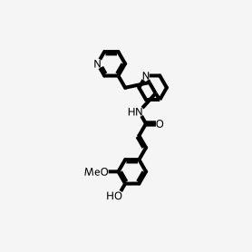 COc1cc(C=CC(=O)NC2C3CCN(CC3)C2Cc2cccnc2)ccc1O